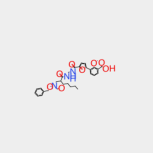 CCCCCC(CN(C=O)OCc1ccccc1)C(=O)NCNC(=O)c1ccc(-c2cccc(C(=O)O)c2OC)o1